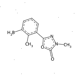 Bc1cccc(-c2nn(C)c(=O)o2)c1C